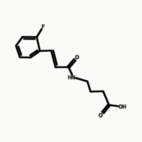 O=C(O)CCCNC(=O)/C=C/c1ccccc1F